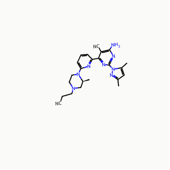 Cc1cc(C)n(-c2nc(N)c(C#N)c(-c3cccc(N4CCN(CCC#N)C[C@@H]4C)n3)n2)n1